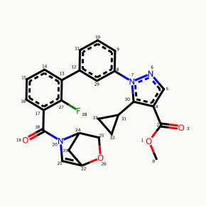 COC(=O)c1cnn(-c2cccc(-c3cccc(C(=O)N4C=C5CC4CO5)c3F)c2)c1C1CC1